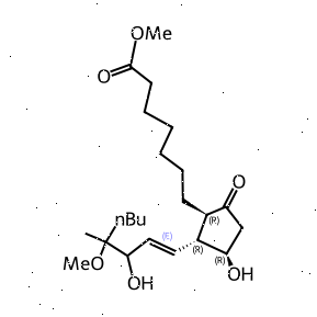 CCCCC(C)(OC)C(O)/C=C/[C@H]1[C@H](O)CC(=O)[C@@H]1CCCCCCC(=O)OC